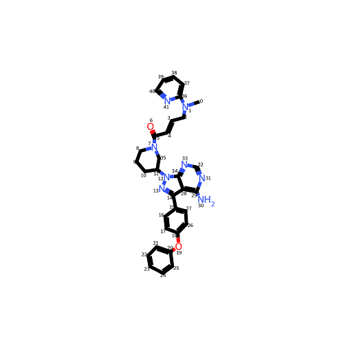 CN(C/C=C/C(=O)N1CCCC(n2nc(-c3ccc(Oc4ccccc4)cc3)c3c(N)ncnc32)C1)c1ccccn1